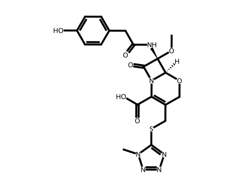 CO[C@@]1(NC(=O)Cc2ccc(O)cc2)C(=O)N2C(C(=O)O)=C(CSc3nnnn3C)CO[C@@H]21